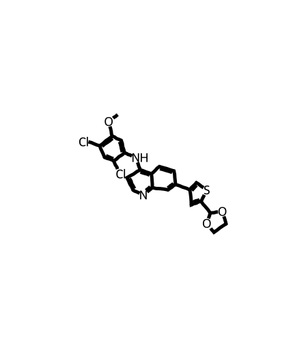 COc1cc(Nc2ccnc3cc(-c4csc(C5OCCO5)c4)ccc23)c(Cl)cc1Cl